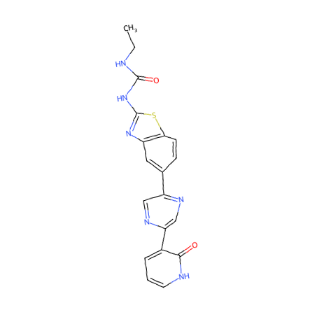 CCNC(=O)Nc1nc2cc(-c3cnc(-c4ccc[nH]c4=O)cn3)ccc2s1